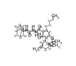 CCCCCc1cc2c(c(O)c1C(=O)NNC(=O)NC13CC4CC(CC(C4)C1)C3)C1C=C(C)CC[C@H]1C(C)(C)O2